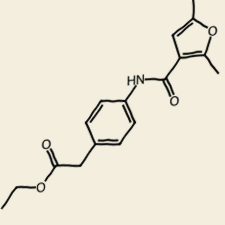 CCOC(=O)Cc1ccc(NC(=O)c2cc(C)oc2C)cc1